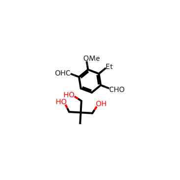 CC(CO)(CO)CO.CCc1c(C=O)ccc(C=O)c1OC